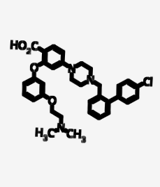 CN(C)CCOc1cccc(Oc2cc(N3CCN(Cc4ccccc4-c4ccc(Cl)cc4)CC3)ccc2C(=O)O)c1